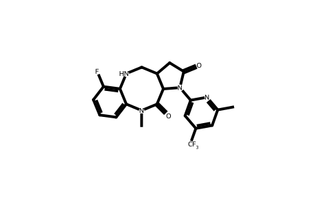 Cc1cc(C(F)(F)F)cc(N2C(=O)CC3CNc4c(F)cccc4N(C)C(=O)C32)n1